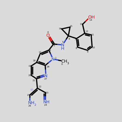 Cn1c(C(=O)NC2(c3ccccc3CO)CC2)cc2ccc(/C(C=N)=C/N)nc21